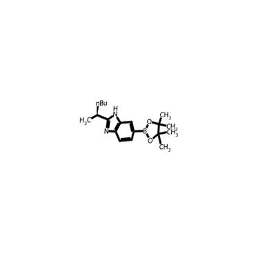 CCCC[C@H](C)c1nc2ccc(B3OC(C)(C)C(C)(C)O3)cc2[nH]1